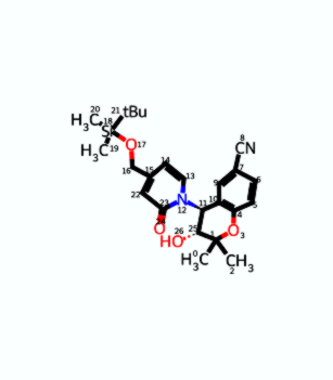 CC1(C)Oc2ccc(C#N)cc2[C@H](n2ccc(CO[Si](C)(C)C(C)(C)C)cc2=O)[C@H]1O